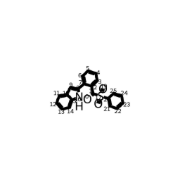 O=C(c1ccccc1-c1cc2ccccc2[nH]1)S(=O)(=O)c1ccccc1